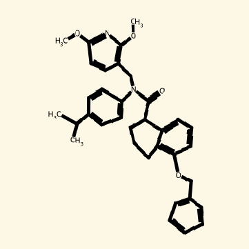 COc1ccc(CN(C(=O)C2CCCc3c(OCc4ccccc4)cccc32)c2ccc(C(C)C)cc2)c(OC)n1